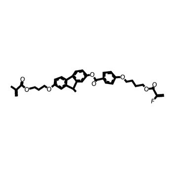 C=C(C)C(=O)OCCCOc1ccc2c(c1)C(C)c1cc(OC(=O)c3ccc(OCCCCOC(=O)C(=C)F)cc3)ccc1-2